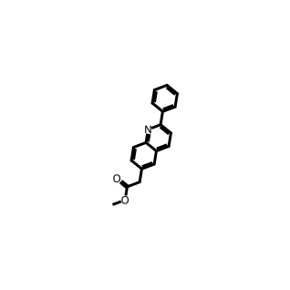 COC(=O)Cc1ccc2nc(-c3ccccc3)ccc2c1